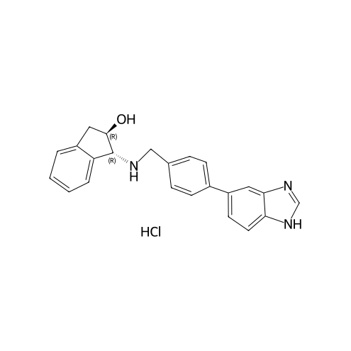 Cl.O[C@@H]1Cc2ccccc2[C@H]1NCc1ccc(-c2ccc3[nH]cnc3c2)cc1